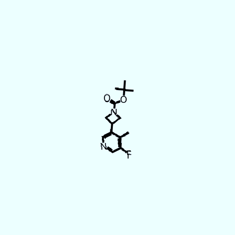 Cc1c(F)cncc1C1CN(C(=O)OC(C)(C)C)C1